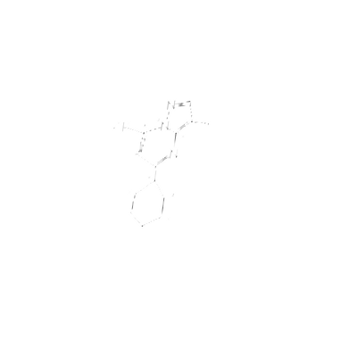 Cc1cnn2c(Cl)cc(C3CCCCC3)nc12